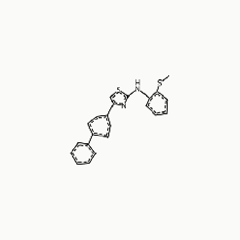 CSc1ccccc1Nc1nc(-c2ccc(-c3ccccc3)cc2)cs1